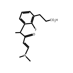 CC(C(=O)C=CN(C)C)c1cccc(CCC(=O)O)c1F